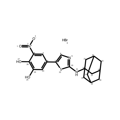 Br.O=[N+]([O-])c1cc(-c2cnc(NC34CC5CC(CC(C5)C3)C4)s2)cc(O)c1O